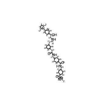 Cc1ccc(C)n1-c1ccc([C@H](O)CN[C@H](C)Cc2cccc(CC(=O)NCc3ccc(C(=O)NCc4ccc(S(N)(=O)=O)cc4)cc3)c2)cn1